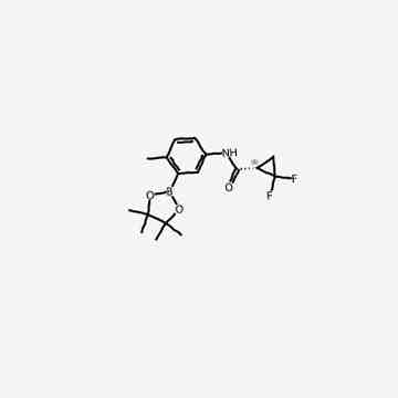 Cc1ccc(NC(=O)[C@@H]2CC2(F)F)cc1B1OC(C)(C)C(C)(C)O1